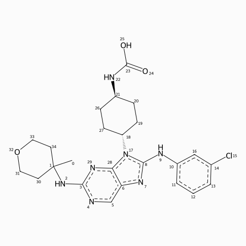 CC1(Nc2ncc3nc(Nc4cccc(Cl)c4)n([C@H]4CC[C@H](NC(=O)O)CC4)c3n2)CCOCC1